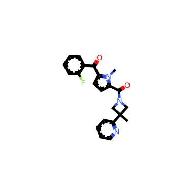 Cn1c(C(=O)c2ccccc2F)ccc1C(=O)N1CC(C)(c2ccccn2)C1